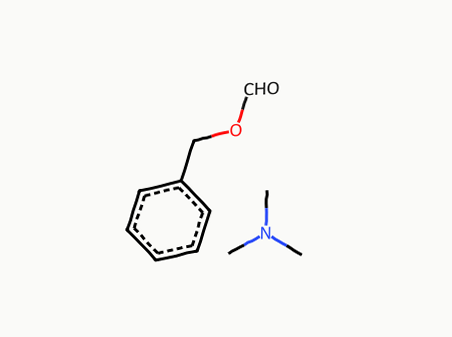 CN(C)C.O=COCc1ccccc1